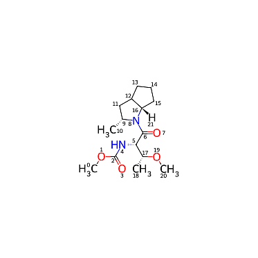 COC(=O)N[C@H](C(=O)N1[C@H](C)CC2CCC[C@@H]21)[C@@H](C)OC